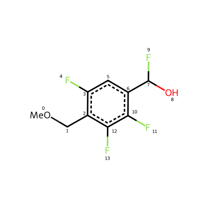 COCc1c(F)cc(C(O)F)c(F)c1F